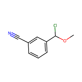 COC(Cl)c1cccc(C#N)c1